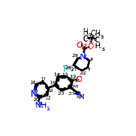 CC(C)(C)OC(=O)N1CC[C@H](Oc2ccc(-c3ccnc(N)c3)cc2C#N)[C@H](F)C1